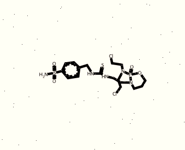 NS(=O)(=O)c1ccc(CNC(=S)NCCN2CCCOP2(=O)N(CCCl)CCCl)cc1